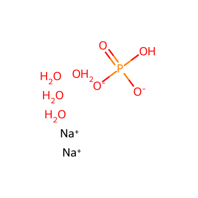 O.O.O.O.O=P([O-])([O-])O.[Na+].[Na+]